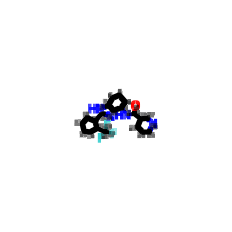 O=C(Nc1cccc2[nH]c(-c3ccccc3C(F)(F)F)nc12)c1cccnc1